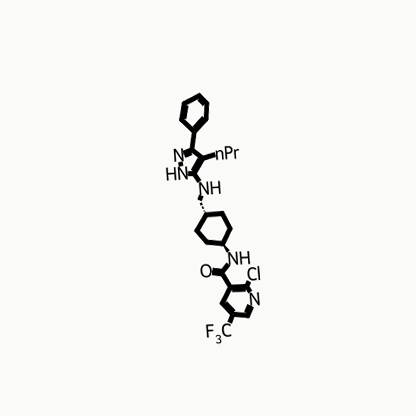 CCCc1c(-c2ccccc2)n[nH]c1NC[C@H]1CC[C@H](NC(=O)c2cc(C(F)(F)F)cnc2Cl)CC1